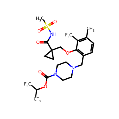 Cc1ccc(CN2CCN(C(=O)OC(C(F)(F)F)C(F)(F)F)CC2)c(OCC2(C(=O)NS(C)(=O)=O)CC2)c1C(F)(F)F